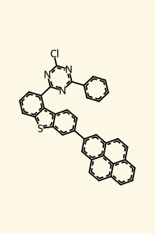 Clc1nc(-c2ccccc2)nc(-c2cccc3sc4cc(-c5cc6ccc7cccc8ccc(c5)c6c78)ccc4c23)n1